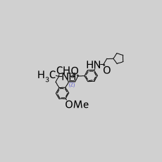 COc1ccc2c(c1)/C(=C/C(=O)c1cccc(NC(=O)CC3CCCC3)c1)NC(C)(C)C2